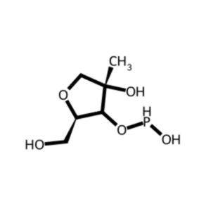 C[C@]1(O)CO[C@H](CO)C1OPO